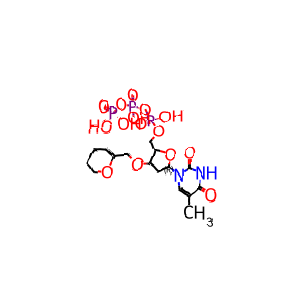 Cc1cn([C@H]2CC(OCC3CCCCO3)C(COP(=O)(O)OP(=O)(O)OP(=O)(O)O)O2)c(=O)[nH]c1=O